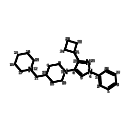 c1ccc(-n2cc(N3CCC(CN4CCCCC4)CC3)c(C3CCC3)n2)cc1